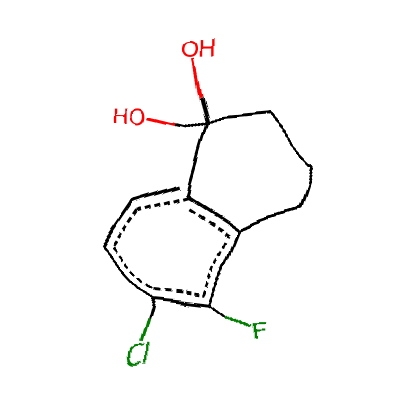 OC1(O)CCCc2c1ccc(Cl)c2F